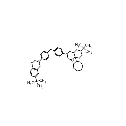 CC(C)(C)c1ccc2c(c1)CN(c1ccc(Cc3ccc(N4COC5(C6CCCCCC6)CCC(C(C)(C)C)CC5C4)cc3)cc1)CO2